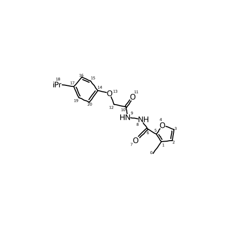 Cc1ccoc1C(=O)NNC(=O)COc1ccc(C(C)C)cc1